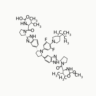 COC(=O)N[C@H](C(=O)N1CCC[C@H]1c1nc2cc([C@H]3CC[C@H](c4ccc5[nH]c([C@@H]6CCCN6C(=O)[C@@H](NC(=O)O)C(C)C)nc5c4)N3c3cc(F)c(N4CCC(C(C)(C)C)CC4)c(F)c3)ccc2[nH]1)C(C)C